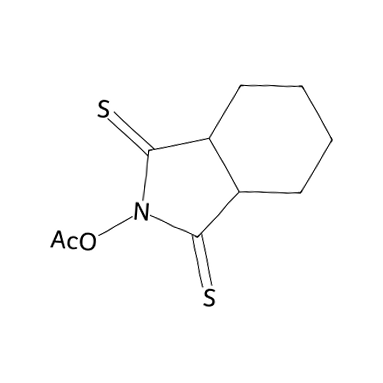 CC(=O)ON1C(=S)C2CCCCC2C1=S